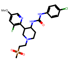 COc1cnc(C2CN(CCS(C)(=O)=O)CCC2NC(=O)Nc2ccc(Cl)cc2)c(F)c1